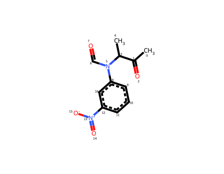 CC(=O)C(C)N(C=O)c1cccc([N+](=O)[O-])c1